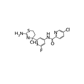 CC1(c2cc(F)cc(NC(=O)c3ccc(Cl)cn3)c2)CCSC(N)=N1